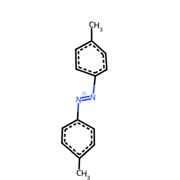 Cc1ccc(/N=N/c2ccc(C)cc2)cc1